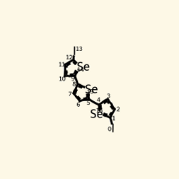 Ic1ccc(-c2ccc(-c3ccc(I)[se]3)[se]2)[se]1